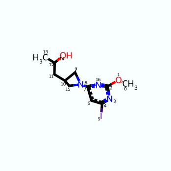 COc1nc(I)cc(N2CC(CC(C)O)C2)n1